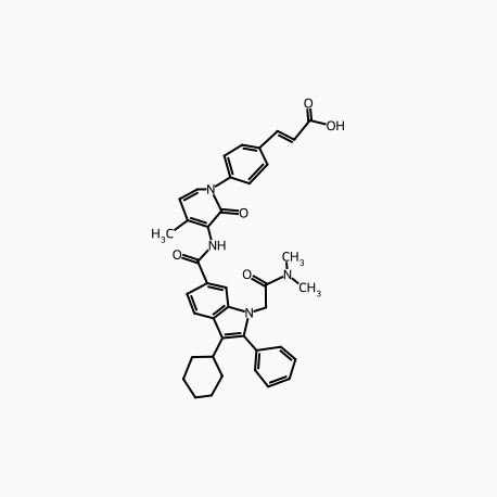 Cc1ccn(-c2ccc(C=CC(=O)O)cc2)c(=O)c1NC(=O)c1ccc2c(C3CCCCC3)c(-c3ccccc3)n(CC(=O)N(C)C)c2c1